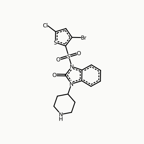 O=c1n(C2CCNCC2)c2ccccc2n1S(=O)(=O)c1sc(Cl)cc1Br